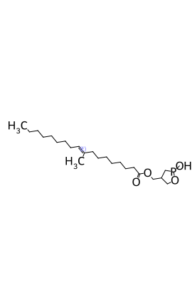 CCCCCCCC/C=C(\C)CCCCCCCC(=O)OCC1COP(O)C1